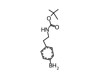 Bc1ccc(CCNC(=O)OC(C)(C)C)cc1